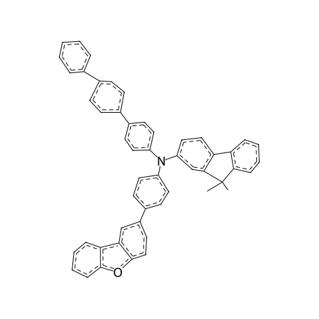 CC1(C)c2ccccc2-c2ccc(N(c3ccc(-c4ccc(-c5ccccc5)cc4)cc3)c3ccc(-c4ccc5oc6ccccc6c5c4)cc3)cc21